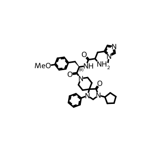 COc1ccc(C[C@@H](NC(=O)C(N)Cc2cncn2C)C(=O)N2CCC3(CC2)C(=O)N(C2CCCC2)CN3c2ccccc2)cc1